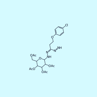 CC(=O)OCC1OC(N/N=C(/CCOc2ccc(Cl)cc2)N=N)C(OC(C)=O)C(OC(C)=O)C1OC(C)=O